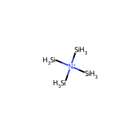 [SiH3][N+]([SiH3])([SiH3])[SiH3]